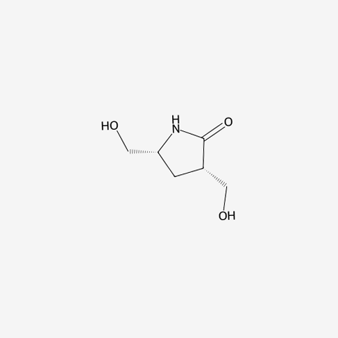 O=C1N[C@@H](CO)C[C@H]1CO